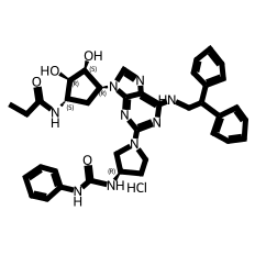 CCC(=O)N[C@H]1C[C@@H](n2cnc3c(NCC(c4ccccc4)c4ccccc4)nc(N4CC[C@@H](NC(=O)Nc5ccccc5)C4)nc32)[C@H](O)[C@@H]1O.Cl